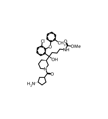 COC(=O)NCCC[C@@](O)(c1cccc(Cl)c1Oc1ccccc1C)[C@@H]1CCCN(C(=O)C2CC[C@H](N)C2)C1